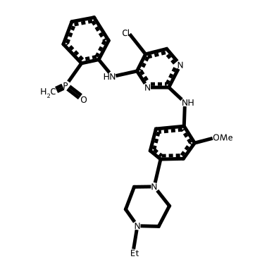 C=P(=O)c1ccccc1Nc1nc(Nc2ccc(N3CCN(CC)CC3)cc2OC)ncc1Cl